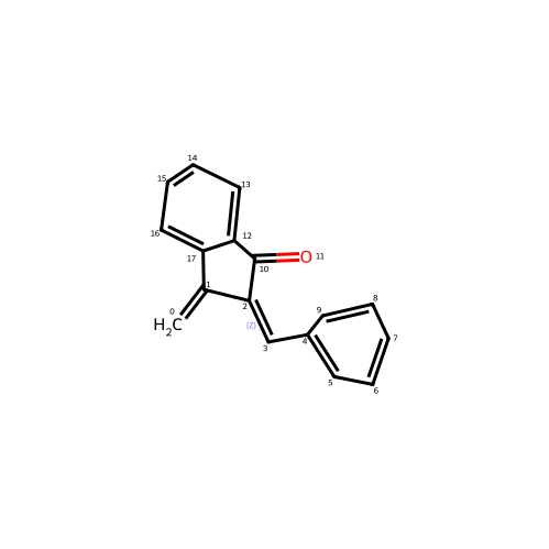 C=C1/C(=C/c2ccccc2)C(=O)c2ccccc21